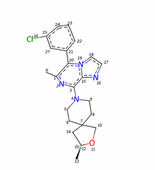 Cc1nc(N2CCC3(CC2)CO[C@@H](C)C3)c2nccn2c1-c1cccc(Cl)c1